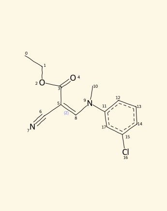 CCOC(=O)/C(C#N)=C\N(C)c1cccc(Cl)c1